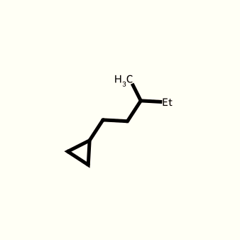 [CH2]CC(C)CCC1CC1